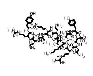 C[C@@H](O)[C@H](N)C(=O)N[C@@H](Cc1ccc(O)cc1)C(=O)N[C@H](C(=O)N[C@@H](CC(N)=O)C(=O)N[C@@H](CCCNC(=N)N)C(=O)N[C@@H](CCCCN)C(=O)N[C@H](C(=O)N[C@H](CCN)C(=O)N[C@@H](CCCCN)C(=O)N[C@@H](CS)C(=O)N[C@@H](CCN)C(=O)N[C@@H](CCCNC(=N)N)C(=O)N[C@@H](Cc1ccc(O)cc1)C(=O)O)[C@@H](C)O)C(C)(C)S